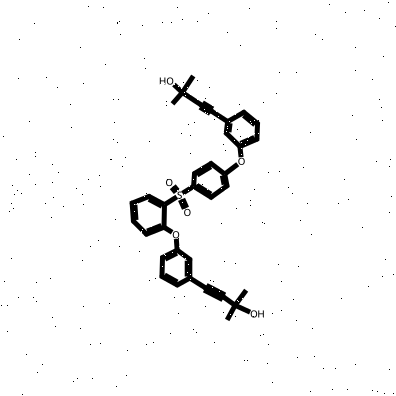 CC(C)(O)C#Cc1cccc(Oc2ccc(S(=O)(=O)c3ccccc3Oc3cccc(C#CC(C)(C)O)c3)cc2)c1